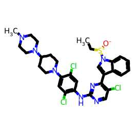 CC[S+]([O-])n1cc(-c2nc(Nc3cc(Cl)c(N4CCC(N5CCN(C)CC5)CC4)cc3Cl)ncc2Cl)c2ccccc21